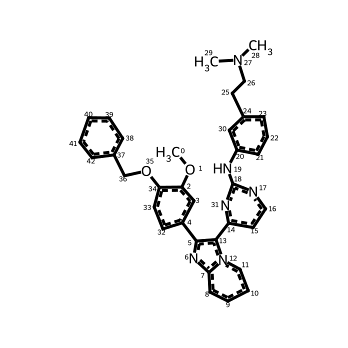 COc1cc(-c2nc3ccccn3c2-c2ccnc(Nc3cccc(CCN(C)C)c3)n2)ccc1OCc1ccccc1